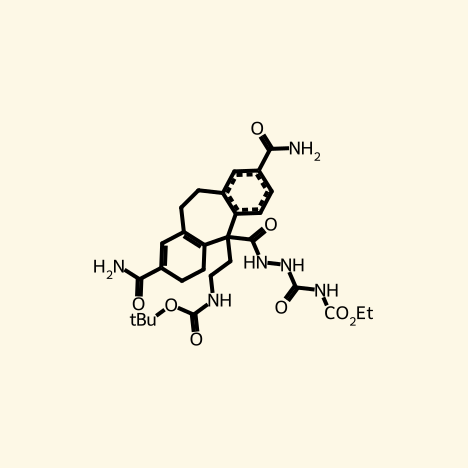 CCOC(=O)NC(=O)NNC(=O)C1(CCNC(=O)OC(C)(C)C)C2=C(C=C(C(N)=O)CC2)CCc2cc(C(N)=O)ccc21